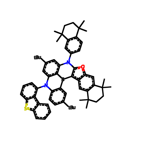 CC(C)(C)c1ccc2c(c1)B1c3c(cc(C(C)(C)C)cc3N2c2cccc3sc4ccccc4c23)N(c2ccc3c(c2)C(C)(C)CCC3(C)C)c2oc3cc4c(cc3c21)C(C)(C)CCC4(C)C